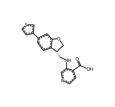 O=C(O)c1ccncc1NC[C@H]1COc2cc(-c3ccsc3)ccc21